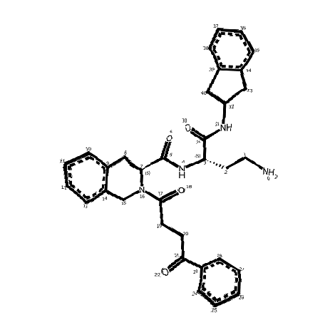 NCC[C@H](NC(=O)[C@@H]1Cc2ccccc2CN1C(=O)CCC(=O)c1ccccc1)C(=O)NC1Cc2ccccc2C1